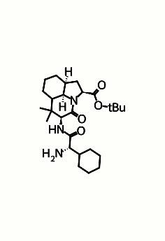 CC(C)(C)OC(=O)[C@@H]1C[C@@H]2CCCC3[C@@H]2N1C(=O)[C@@H](NC(=O)[C@@H](N)C1CCCCC1)C3(C)C